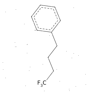 FC(F)(F)CCCc1[c]cccc1